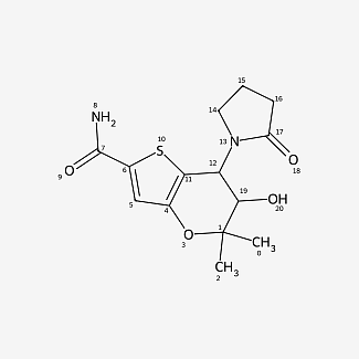 CC1(C)Oc2cc(C(N)=O)sc2C(N2CCCC2=O)C1O